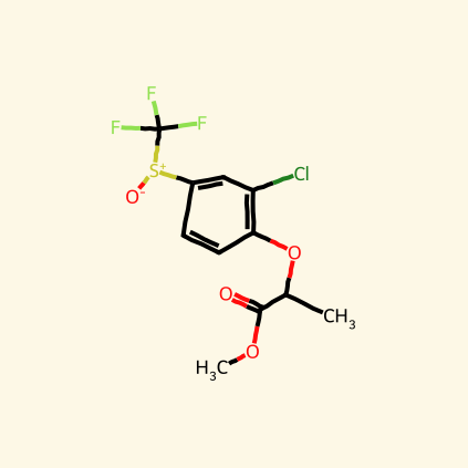 COC(=O)C(C)Oc1ccc([S+]([O-])C(F)(F)F)cc1Cl